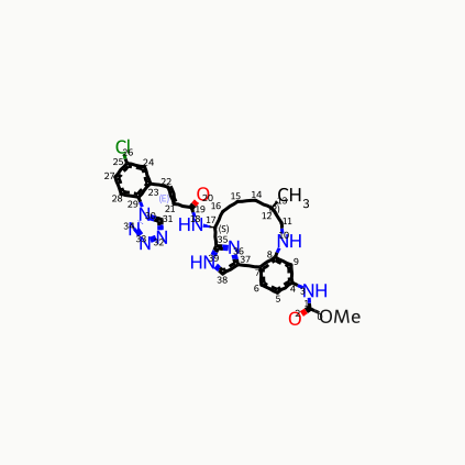 COC(=O)Nc1ccc2c(c1)NC[C@H](C)CCC[C@H](NC(=O)/C=C/c1cc(Cl)ccc1-n1cnnn1)c1nc-2c[nH]1